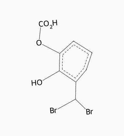 O=C(O)Oc1cccc(C(Br)Br)c1O